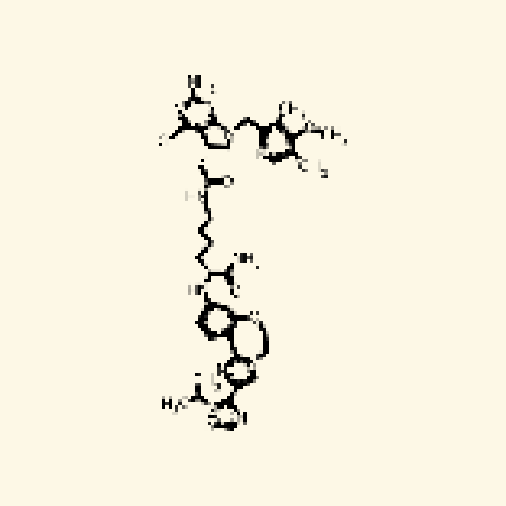 COc1c(C)cnc(CN2C[C@H](CC(=O)NCCCC[C@H](Nc3ccc4c(c3)OCCn3cc(-c5ncnn5C(C)C)nc3-4)C(N)=O)c3c(Cl)nc(N)nc32)c1C